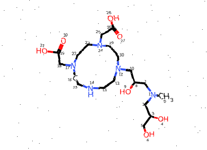 CN(CC(O)CO)CC(O)CN1CCNCCN(CC(=O)O)CCN(CC(=O)O)CC1